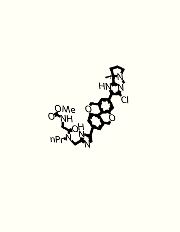 CCCN(Cc1ncc(-c2cc3c4c(c2)OCc2cc(-c5[nH]c([C@]6(C)CCCN6C)nc5Cl)cc(c2-4)OC3)[nH]1)C(=O)CNC(=O)OC